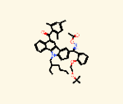 CCCCC(CC)Cn1c2ccc(/C(=N\OC(C)=O)c3ccccc3OCCOC(C)(C)C)cc2c2cc(C(=O)c3c(C)cc(C)cc3C)c3ccccc3c21